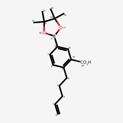 C=CCCCc1ccc(B2OC(C)(C)C(C)(C)O2)cc1C(=O)O